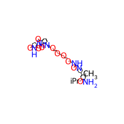 Cc1cc(N)c(OC(C)C)cc1C1CCN(CC(=O)NCCOCCOCCOCCOCCNc2cccc3c2C(=O)N(C2CCC(=O)NC2=O)C3=O)CC1